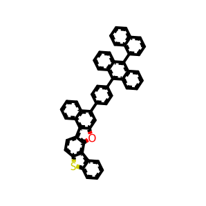 c1ccc2c(-c3c4ccccc4c(-c4ccc(-c5cc6oc7c(ccc8sc9ccccc9c87)c6c6ccccc56)cc4)c4ccccc34)cccc2c1